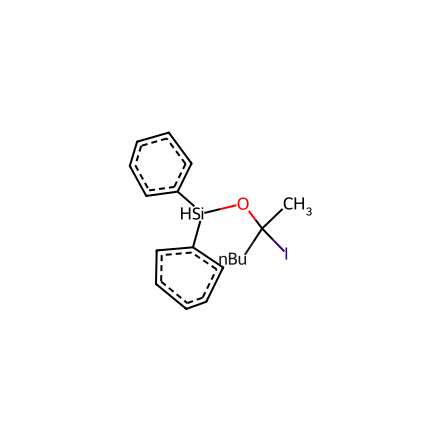 CCCCC(C)(I)O[SiH](c1ccccc1)c1ccccc1